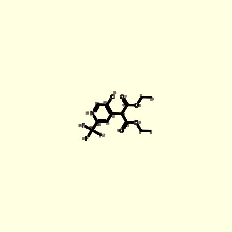 CCOC(=O)C(C(=O)OCC)c1cc(C(F)(F)F)ncc1Cl